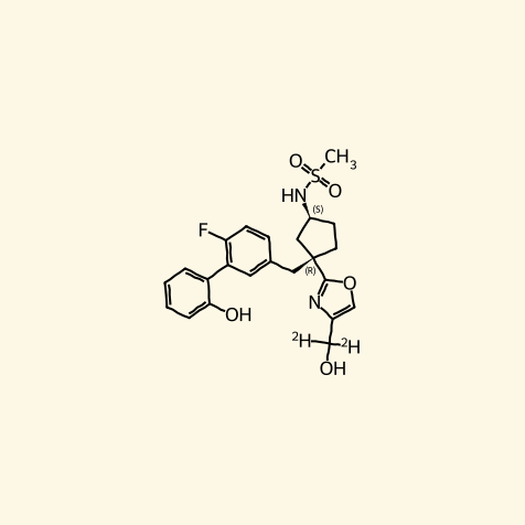 [2H]C([2H])(O)c1coc([C@@]2(Cc3ccc(F)c(-c4ccccc4O)c3)CC[C@H](NS(C)(=O)=O)C2)n1